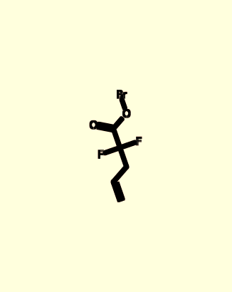 C=CCC(F)(F)C(=O)OBr